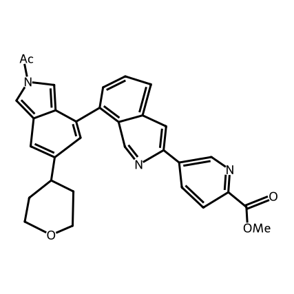 COC(=O)c1ccc(-c2cc3cccc(-c4cc(C5CCOCC5)cc5cn(C(C)=O)cc45)c3cn2)cn1